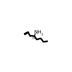 C=CC[C@@H](N)CCCC